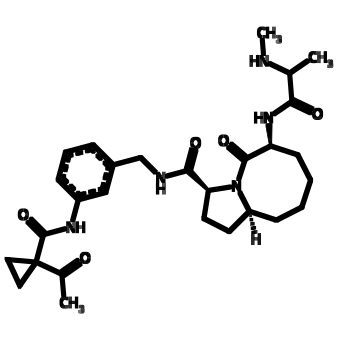 CNC(C)C(=O)N[C@H]1CCCC[C@H]2CC[C@@H](C(=O)NCc3cccc(NC(=O)C4(C(C)=O)CC4)c3)N2C1=O